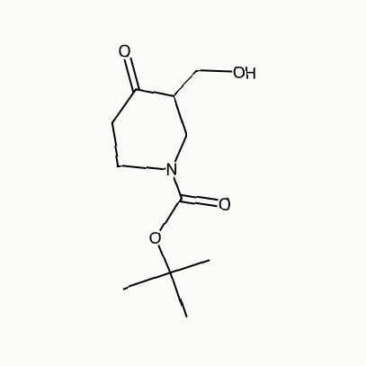 CC(C)(C)OC(=O)N1CCC(=O)C(CO)C1